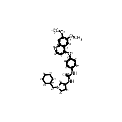 COc1cc2nccc(Oc3ccc(NC(=O)NC4CCN(CC5CCCCC5)C4)cc3)c2cc1OC